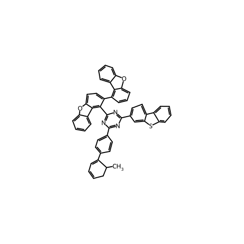 CC1CC=CC=C1c1ccc(-c2nc(-c3ccc4c(c3)sc3ccccc34)nc(-c3c(-c4cccc5oc6ccccc6c45)ccc4oc5ccccc5c34)n2)cc1